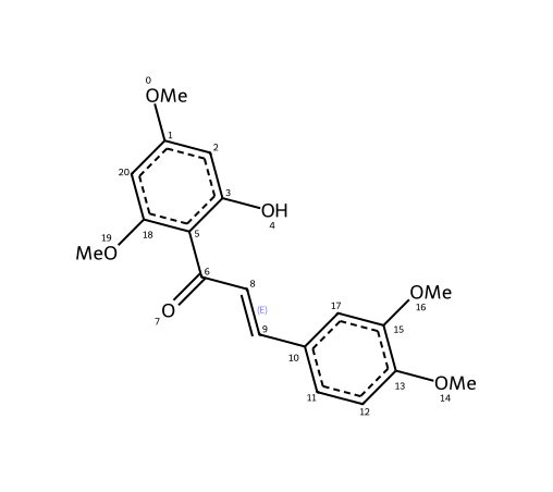 COc1cc(O)c(C(=O)/C=C/c2ccc(OC)c(OC)c2)c(OC)c1